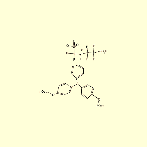 CCCCCCCCOc1ccc([S+](c2ccccc2)c2ccc(OCCCCCCCC)cc2)cc1.O=S(=O)([O-])C(F)(F)C(F)(F)C(F)(F)C(F)(F)S(=O)(=O)O